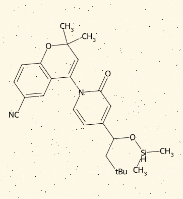 C[SiH](C)OC(CC(C)(C)C)c1ccn(C2=CC(C)(C)Oc3ccc(C#N)cc32)c(=O)c1